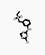 CCS(=O)(=O)Cc1cccc(Nc2ncnc(Cl)n2)c1